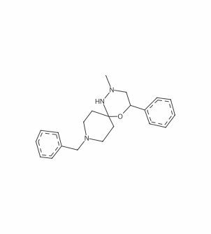 CN1CC(c2ccccc2)OC2(CCN(Cc3ccccc3)CC2)N1